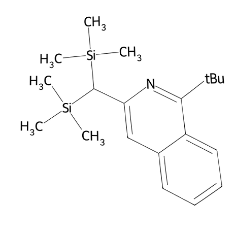 CC(C)(C)c1nc(C([Si](C)(C)C)[Si](C)(C)C)cc2ccccc12